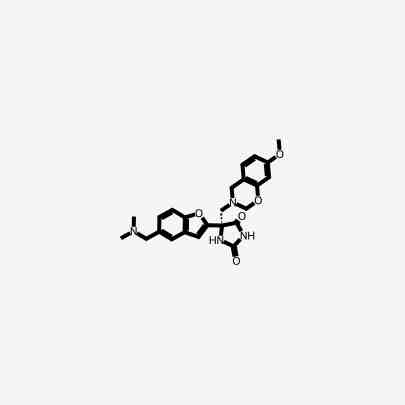 COc1ccc2c(c1)OCN(C[C@@]1(c3cc4cc(CN(C)C)ccc4o3)NC(=O)NC1=O)C2